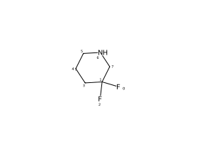 FC1(F)C[CH]CNC1